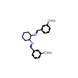 COc1cccc(/C=N/C2CCCCC2/N=C/c2cccc(OC)c2)c1